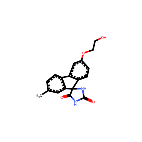 Cc1ccc2c(c1)C1(NC(=O)NC1=O)c1ccc(OCCO)cc1-2